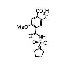 COc1cc(C(=O)O)c(Cl)cc1C(=O)NS(=O)(=O)N1CCCC1